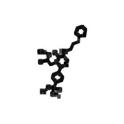 CCOP(C)(=O)c1ccc(-c2ncc(NCCCc3ccccc3)c(=O)n2CC(=O)OC(C)(C)C)cc1